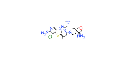 Cc1cc(N2CCC3(CC2)COC[C@H]3N)n2c(CN(C)C)nnc2c1Sc1ccnc(N)c1Cl